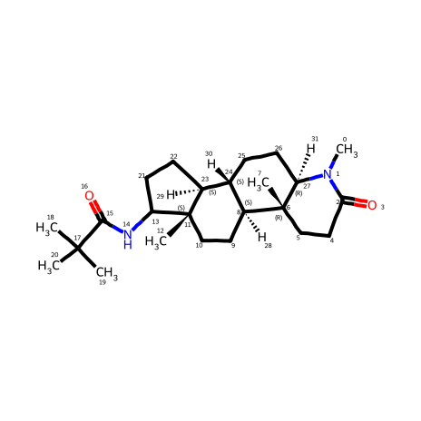 CN1C(=O)CC[C@]2(C)[C@H]3CC[C@]4(C)C(NC(=O)C(C)(C)C)CC[C@H]4[C@@H]3CC[C@@H]12